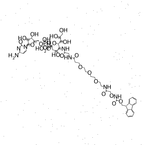 Nc1ccn([C@@H]2O[C@H](CO[PH](O)(O)O[C@@]3(C(=O)O)C[C@@H](O)[C@@H](NC(=O)CNC(=O)CCOCCOCCOCCNC(=O)CONC(=O)OCC4c5ccccc5-c5ccccc54)C([C@H](O)[C@H](O)CO)O3)C(O)[C@@H]2O)c(=O)n1